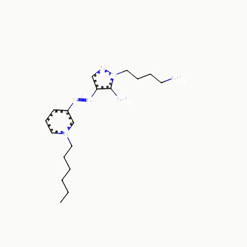 CCCCCC[n+]1cccc(/N=N/c2cnn(CCCCN)c2N)c1